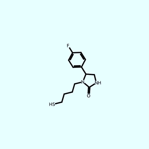 O=C1NCC(c2ccc(F)cc2)N1CCCCS